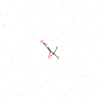 O=C=C1OC1(F)F